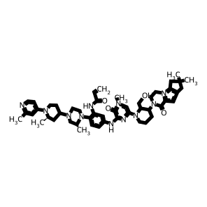 C=CC(=O)Nc1cc(Nc2nc(N3CCCC(N4CCn5c(cc6c5CC(C)(C)C6)C4=O)C3CO)cn(C)c2=O)ccc1N1CCN(C2CCN(c3ccnc(C)c3)[C@@H](C)C2)C[C@@H]1C